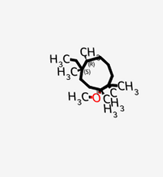 CC[C@@]1(C)CC[C@@](C)(OC)C(C)(C)CCC[C@H]1C